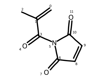 C=C(C)C(=O)N1C(=O)C=CC1=O